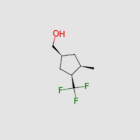 C[C@@H]1C[C@H](CO)C[C@@H]1C(F)(F)F